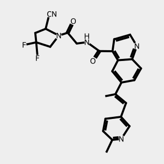 CC(=Cc1ccc(C)nc1)c1ccc2nccc(C(=O)NCC(=O)N3CC(F)(F)CC3C#N)c2c1